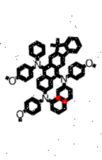 COc1ccc(N(c2ccccc2)c2ccc3c(N(c4ccccc4)c4ccc(OC)cc4)c4cc5c(cc4c(N(c4ccccc4)c4ccc(OC)cc4)c3c2)-c2ccccc2C5(C)C)cc1